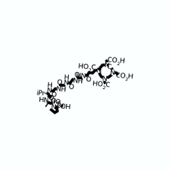 CC(C)[C@H](NC(=O)CNC(=O)CNC(=O)CNC(=O)CNC(=O)CCC(C(=O)O)N1CCN(CC(=O)O)CCN(CC(=O)O)CCN(CC(=O)O)CC1)C(=O)N[C@H](C)C(=O)N1CCC[C@H]1B(O)O